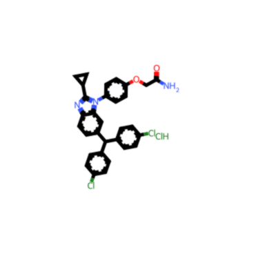 Cl.NC(=O)COc1ccc(-n2c(C3CC3)nc3ccc(C(c4ccc(Cl)cc4)c4ccc(Cl)cc4)cc32)cc1